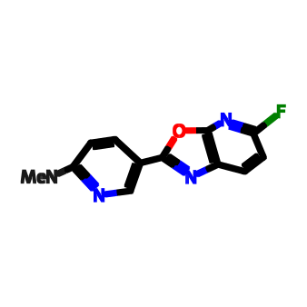 CNc1ccc(-c2nc3ccc(F)nc3o2)cn1